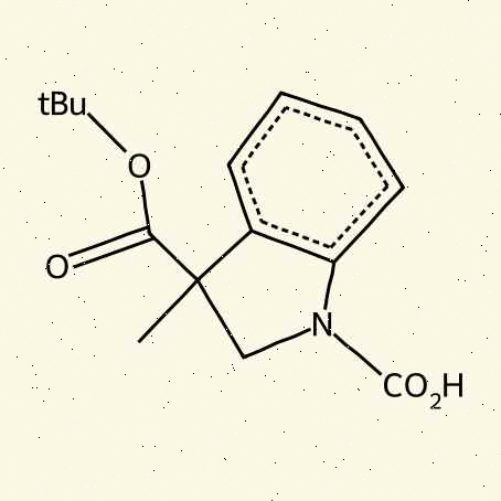 CC(C)(C)OC(=O)C1(C)CN(C(=O)O)c2ccccc21